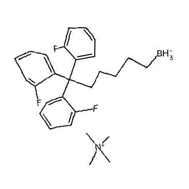 C[N+](C)(C)C.[BH3-]CCCCCC(c1ccccc1F)(c1ccccc1F)c1ccccc1F